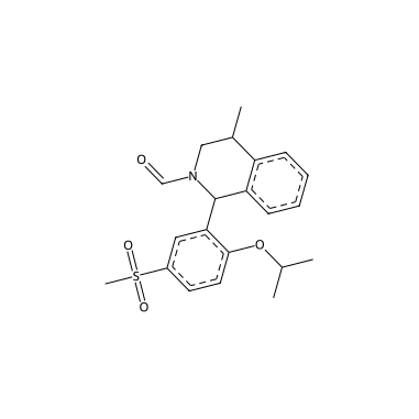 CC(C)Oc1ccc(S(C)(=O)=O)cc1C1c2ccccc2C(C)CN1C=O